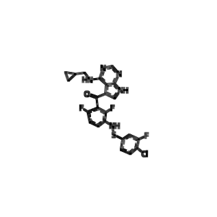 O=C(c1c(F)ccc(NSc2ccc(Cl)c(F)c2)c1F)c1c[nH]c2ncnc(NCC3CC3)c12